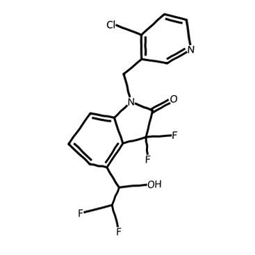 O=C1N(Cc2cnccc2Cl)c2cccc(C(O)C(F)F)c2C1(F)F